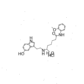 COc1ccccc1NC(=O)CCCCC(C)NCCc1c[nH]c2ccc(O)cc12.Cl.O